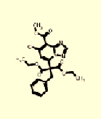 CCOC(=O)C(Cc1ccccc1)(C(=O)OCC)c1cc(Cl)c(C(=O)OC)c2ncnn12